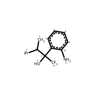 CC(C)C(C)C(O)(c1ccccc1N)C(F)(F)F